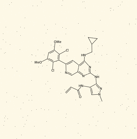 C=CC(=O)Nc1cn(C)nc1Nc1nc(NCC2CC2)c2cc(-c3c(Cl)c(OC)cc(OC)c3Cl)ncc2n1